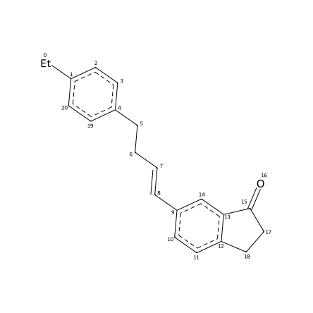 CCc1ccc(CCC=Cc2ccc3c(c2)C(=O)CC3)cc1